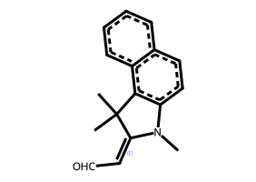 CN1/C(=C/C=O)C(C)(C)c2c1ccc1ccccc21